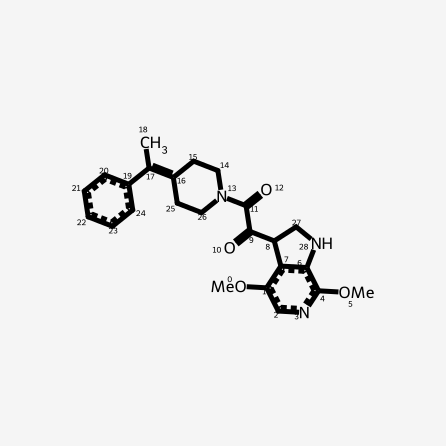 COc1cnc(OC)c2c1C(C(=O)C(=O)N1CCC(=C(C)c3ccccc3)CC1)CN2